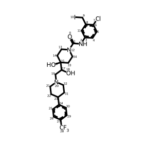 O=C(Nc1ccc(Cl)c(CI)c1)N1CCC(O)(C(O)CN2CCC(c3ccc(C(F)(F)F)cc3)CC2)CC1